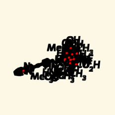 COC(=O)N[C@H](C(=O)N[C@@H](Cc1ccc(C#Cc2cnc(N3CC4CCC(C3)N4C3COC3)nc2)cc1)[C@H](CN(Cc1c(F)cc(-c2ccn(C(F)F)n2)cc1F)NC(=O)[C@@H](NC(=O)OC)C(C)(C)C(F)(F)F)OC(=O)CC(C)(C)c1c(CC(=O)N2C[C@H]3[C@@H]([C@H]2C(=O)O)C3(C)C)cc(C)cc1OP(=O)(O)O)C(C)(C)C(F)(F)F